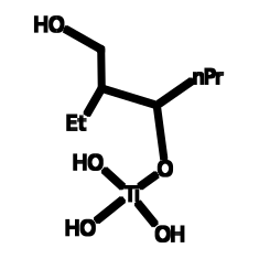 CCCC([O][Ti]([OH])([OH])[OH])C(CC)CO